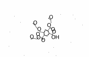 O=C(O)c1cc(C(=O)OCC2CO2)c(C(=O)OCC2CO2)cc1C(=O)OCC1CO1